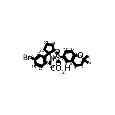 CC1(C)CCc2cc(S(=O)(=O)N(CC(=O)O)C3(c4cccc(Br)c4)CCCC3)ccc2O1